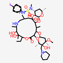 CCC1OC(=O)C(C)C(O[C@H]2C[C@@](C)(OC)[C@](O)(CN3CCCCC3)[C@H](C)O2)C(C)C(O[C@H]2O[C@@H](C)C[C@@H](N(C)S(=O)(=O)Nc3ccc(I)cc3)[C@@H]2O)C(C)(O)CC(C)CNC(C)C(O)C1(C)O